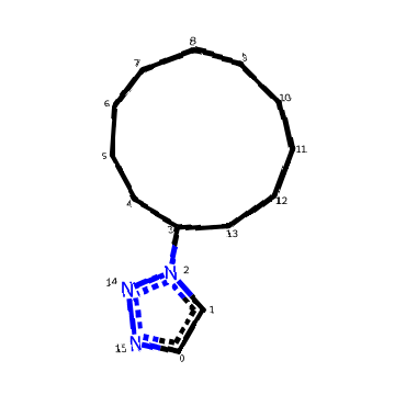 c1cn(C2CCCCCCCCCC2)nn1